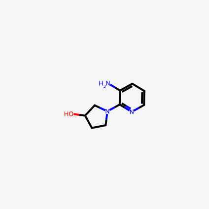 Nc1cccnc1N1CCC(O)C1